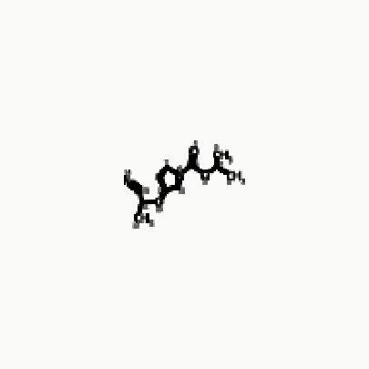 CC(C)OC(=O)N1CCC(OC(C)C#N)C1